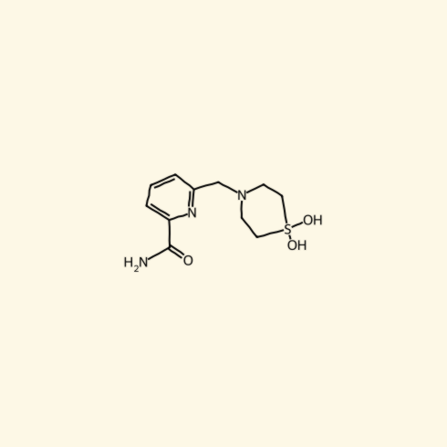 NC(=O)c1cccc(CN2CCS(O)(O)CC2)n1